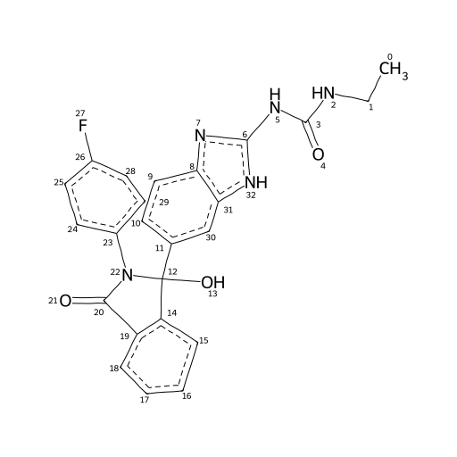 CCNC(=O)Nc1nc2ccc(C3(O)c4ccccc4C(=O)N3c3ccc(F)cc3)cc2[nH]1